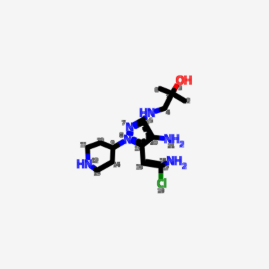 CC(C)(O)CNc1nn(C2CCNCC2)c(/C=C(\N)Cl)c1N